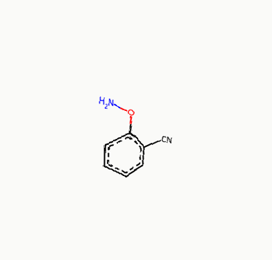 N#Cc1ccccc1ON